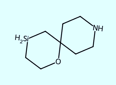 C1CC2(CCN1)C[SiH2]CCO2